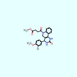 COC(=O)CCC(=O)N1CC2=C(NC(=O)NC2c2ccc(OC)c(Br)c2)c2ccccc21